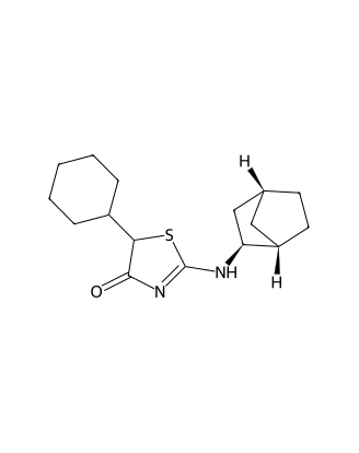 O=C1N=C(N[C@H]2C[C@@H]3CC[C@H]2C3)SC1C1CCCCC1